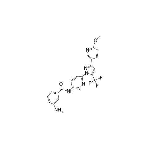 COc1ccc(-c2cc(C(F)(F)F)n(-c3ccc(NC(=O)c4cccc(N)c4)nn3)n2)cn1